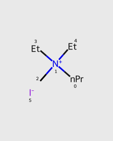 CCC[N+](C)(CC)CC.[I-]